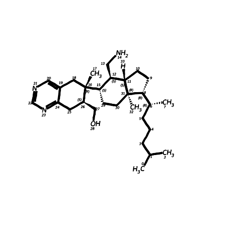 CC(C)CCC[C@@H](C)[C@H]1CC[C@H]2[C@H](CN)[C@@H]([C@@]3(C)Cc4cncnc4C[C@@H]3CO)CC[C@]12C